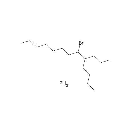 CCCCCCCC(Br)C(CCC)CCCC.P